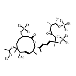 CCO[C@@H](C)O[C@]1(C)CC[C@@H](O[Si](CC)(CC)CC)CC(=O)O[C@H](/C(C)=C/C=C/[C@@](C)(C[C@H]2O[C@@H]2[C@H](C)[C@H](CC)O[Si](CC)(CC)CC)O[Si](CC)(CC)CC)[C@@H](C)/C=C/[C@@H]1OC(C)=O